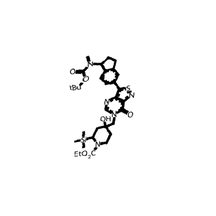 CCOC(=O)N1CCC(O)(Cn2cnc3c(-c4ccc5c(c4)CCC5N(C)C(=O)OC(C)(C)C)snc3c2=O)CC1[Si](C)(C)C